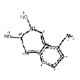 Nc1cccc2c1=CN(O)C(O)N=2